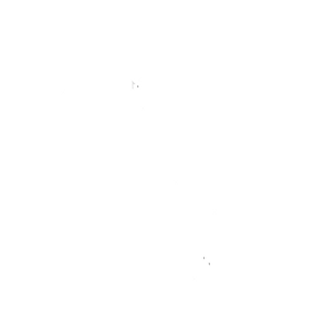 C1=CCC2C(=C1)C=Cc1ccccc1N2c1ccc(-c2ccc(N3c4ccccc4C=Cc4ccccc43)cc2)cc1